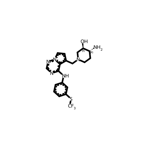 N[C@@H]1CCN(Cc2ccn3ncnc(Nc4cccc(SC(F)(F)F)c4)c23)C[C@H]1O